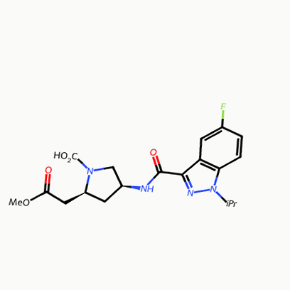 COC(=O)C[C@@H]1C[C@H](NC(=O)c2nn(C(C)C)c3ccc(F)cc23)CN1C(=O)O